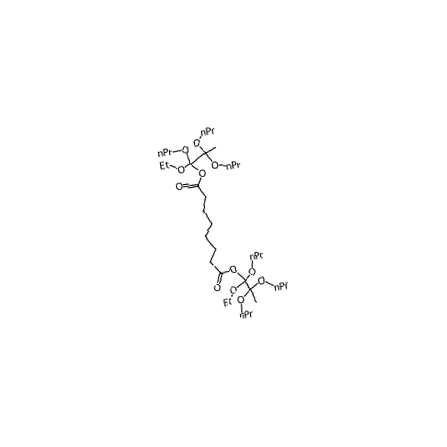 CCCOC(C)(OCCC)C(OCC)(OCCC)OC(=O)CCCCCCC(=O)OC(OCC)(OCCC)C(C)(OCCC)OCCC